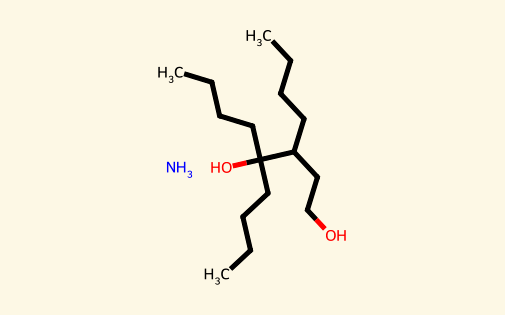 CCCCC(CCO)C(O)(CCCC)CCCC.N